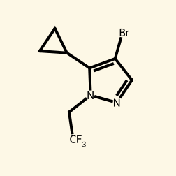 FC(F)(F)Cn1n[c]c(Br)c1C1CC1